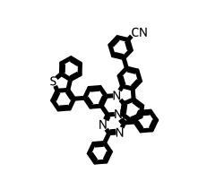 N#Cc1cccc(-c2ccc3c4ccccc4n(-c4ccc(-c5cccc6sc7ccccc7c56)cc4-c4nc(-c5ccccc5)nc(-c5ccccc5)n4)c3c2)c1